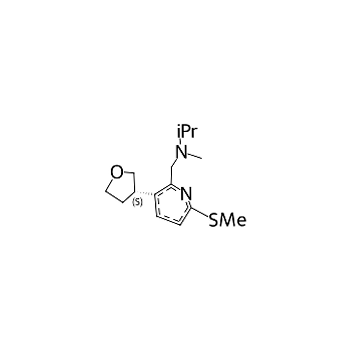 CSc1ccc([C@@H]2CCOC2)c(CN(C)C(C)C)n1